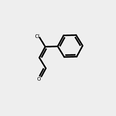 O=C/C=C(/Cl)c1ccccc1